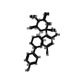 CN1C(=N)N[C@](C)(c2ccc(F)cc2F)[C@H](C2CCN(c3ccc(F)cc3)CC2)C1=O